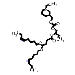 C[CH]C(COC(=O)OCC1CCCN(CC)C1)OC(=O)CCC(OCCCC/C=C\CC)OCCCC/C=C\CC